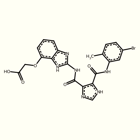 Cc1ccc(Br)cc1NC(=O)c1[nH]cnc1C(=O)Nc1nc2cccc(OCC(=O)O)c2[nH]1